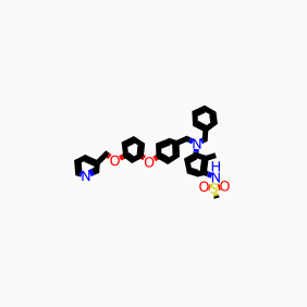 Cc1c(NS(C)(=O)=O)cccc1N(Cc1ccccc1)Cc1ccc(Oc2cccc(OCc3cccnc3)c2)cc1